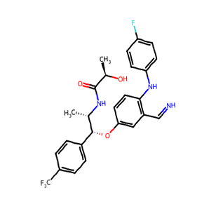 C[C@H](NC(=O)[C@@H](C)O)[C@H](Oc1ccc(Nc2ccc(F)cc2)c(C=N)c1)c1ccc(C(F)(F)F)cc1